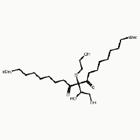 CCCCCCCCCCCCCCCCCC(=O)C(OCCO)(C(=O)CCCCCCCCCCCCCCCCC)C(O)CO